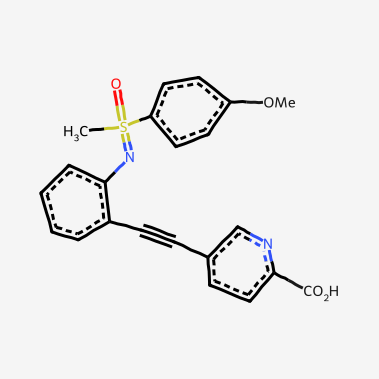 COc1ccc(S(C)(=O)=Nc2ccccc2C#Cc2ccc(C(=O)O)nc2)cc1